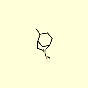 CC(C)N1CC2CC1CCN2C